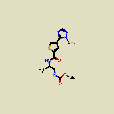 CC(CNC(=O)OC(C)(C)C)NC(=O)c1cc(-c2ncnn2C)cs1